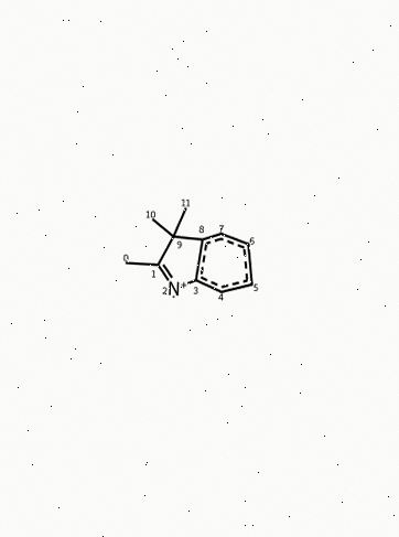 CC1=[N+]c2ccccc2C1(C)C